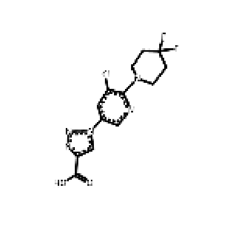 O=C(O)c1cn(-c2cnc(N3CCC(F)(F)CC3)c(Cl)c2)nn1